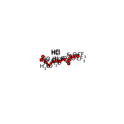 CN(CCN1CCC(N(C(=O)O)c2ccccc2-c2ccccc2)CC1)C(=O)CCCCN(C)c1ccc(C(=O)N(C)CCCN(C)C(=O)CO[C@H]2Cc3ccccc3C23CCN(CC[C@@]2(c4ccc(F)cc4)CN(C(=O)c4cc(C(F)(F)F)cc(C(F)(F)F)c4)CO2)CC3)cc1.Cl.Cl.Cl